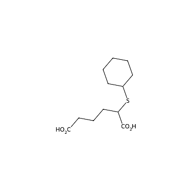 O=C(O)CCCC(SC1CCCCC1)C(=O)O